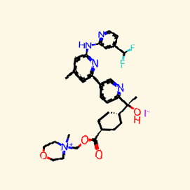 Cc1cc(Nc2cc(C(F)F)ccn2)nc(-c2ccc([C@](C)(O)[C@H]3CC[C@H](C(=O)OC[N+]4(C)CCOCC4)CC3)nc2)c1.[I-]